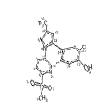 CS(=O)(=O)c1ccc(-n2nc(C(F)(F)F)cc2-c2ccc(O)c(Cl)c2)cn1